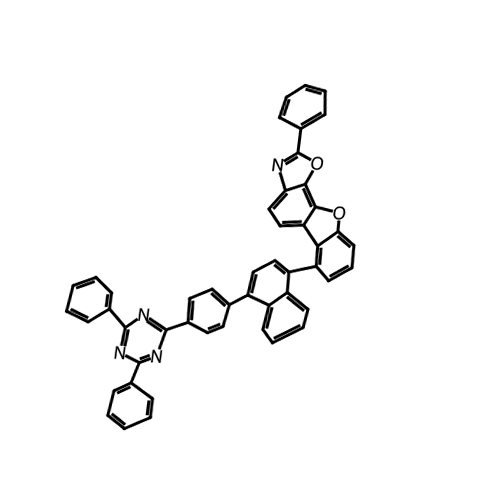 c1ccc(-c2nc(-c3ccccc3)nc(-c3ccc(-c4ccc(-c5cccc6oc7c(ccc8nc(-c9ccccc9)oc87)c56)c5ccccc45)cc3)n2)cc1